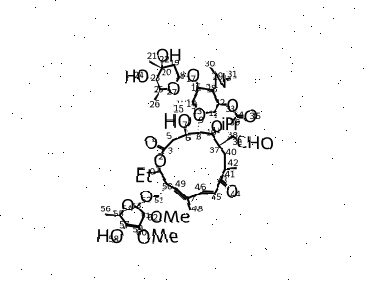 CC[C@H]1OC(=O)C[C@@H](O)[C@H](C)[C@@H](O[C@@H]2O[C@H](C)[C@@H](O[C@H]3C[C@@](C)(O)[C@@H](O)[C@H](C)O3)[C@H](N(C)C)[C@H]2OC(=O)C(C)C)[C@@H](CC=O)C[C@@H](C)C(=O)/C=C/C(C)=C/[C@@H]1CO[C@@H]1O[C@H](C)[C@@H](O)[C@@H](OC)[C@H]1OC